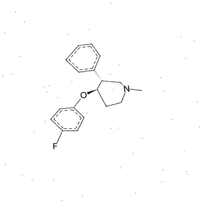 CN1CC[C@@H](Oc2ccc(F)cc2)[C@H](c2ccccc2)C1